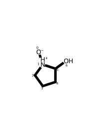 [O-][NH+]1CCCC1O